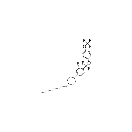 CCCCCCCC[C@H]1CC[C@H](c2ccc(C(F)(F)Oc3ccc(OC(F)(F)F)cc3)c(F)c2)CC1